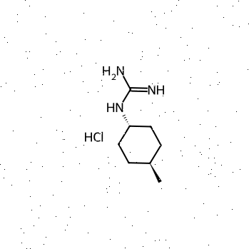 C[C@H]1CC[C@H](NC(=N)N)CC1.Cl